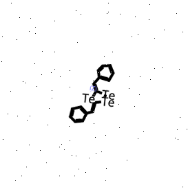 C(=C1[Te][Te]/C(=C\c2ccccc2)[Te]1)c1ccccc1